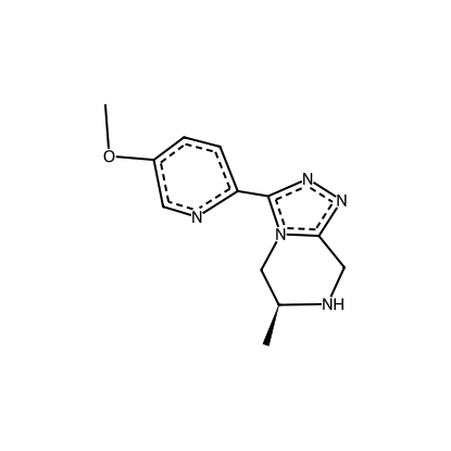 COc1ccc(-c2nnc3n2C[C@H](C)NC3)nc1